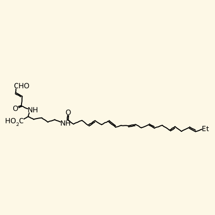 CCC=CCC=CCC=CCC=CCC=CCC=CCCC(=O)NCCCCC(NC(=O)C=CC=O)C(=O)O